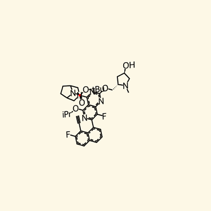 C#Cc1c(F)ccc2cccc(-c3nc(OC(C)C)c4c(N5CC6CCC(C5)N6C(=O)OC(C)(C)C)nc(OC[C@@H]5C[C@@H](O)CN5C)nc4c3F)c12